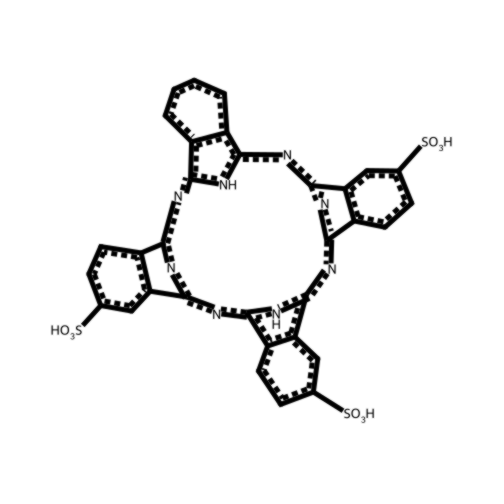 O=S(=O)(O)c1ccc2c(c1)-c1nc-2nc2[nH]c(nc3nc(nc4[nH]c(n1)c1ccccc41)-c1ccc(S(=O)(=O)O)cc1-3)c1ccc(S(=O)(=O)O)cc21